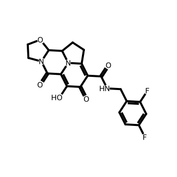 O=C(NCc1ccc(F)cc1F)c1c2n3c(c(O)c1=O)C(=O)N1CCOC1C3CC2